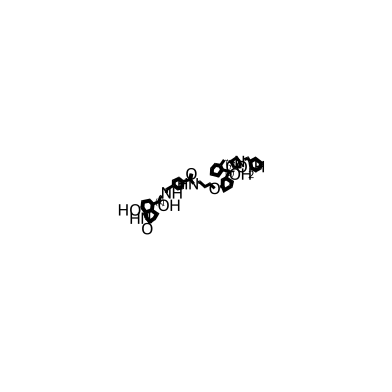 O=C(NCCCOc1cccc([C@@](O)(C(=O)O)c2ccccc2C[C@H]2CCN(Cc3ccccc3)C2)c1)c1ccc(CNC[C@H](O)c2ccc(O)c3[nH]c(=O)ccc23)cc1